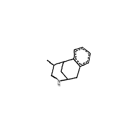 CC1CNC2Cc3ccccc3C1C2